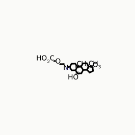 C[C@]12CC/C(=N\CCOCC(=O)O)CC1[C@H](O)CC1C2CC[C@]2(C)C(=O)CCC12